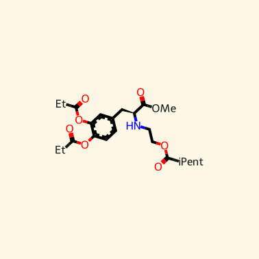 CCCC(C)C(=O)OCCN[C@@H](Cc1ccc(OC(=O)CC)c(OC(=O)CC)c1)C(=O)OC